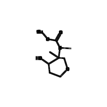 CN(C(=O)OC(C)(C)C)C1(C)COCCC1O